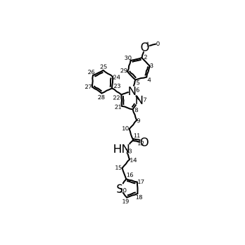 COc1ccc(-n2nc(CCC(=O)NCCc3cccs3)cc2-c2ccccc2)cc1